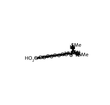 CSc1ncc(-c2cc(C(=O)NCCOCCOCCOCCOCCOCCOCCOCCOCCCC(=O)O)cc(-c3cnc(SC)nc3)c2)cn1